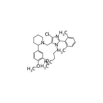 CCCCn1c(-c2c(C)cccc2C)nc(Cl)c1CN1CCCCC1c1ccc(OC)c(OC)c1